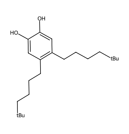 CC(C)(C)CCCCc1cc(O)c(O)cc1CCCCC(C)(C)C